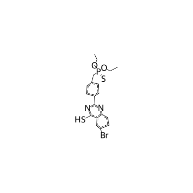 CCOP(=S)(Cc1ccc(-c2nc(S)c3cc(Br)ccc3n2)cc1)OCC